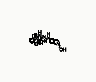 N=c1c2cnc(Nc3ccc4c(c3)CCN(CCO)C4)nc2[nH]c(=O)n1-c1c(Cl)cccc1Cl